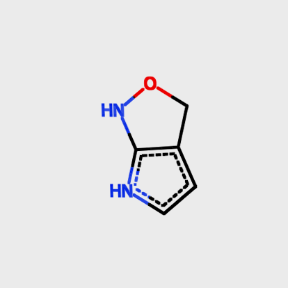 c1cc2c([nH]1)NOC2